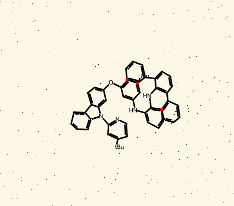 CC(C)(C)c1cc(Nc2ccccc2Nc2c(-c3ccccc3)cccc2-c2ccccc2)cc(Oc2ccc3c4ccccc4n(-c4cc(C(C)(C)C)ccn4)c3c2)c1